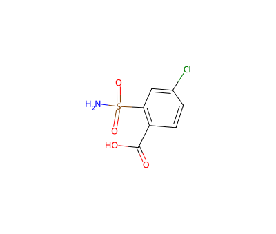 NS(=O)(=O)c1cc(Cl)ccc1C(=O)O